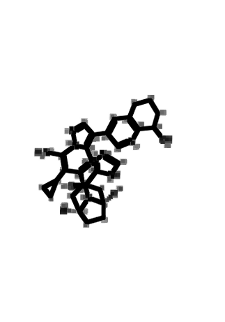 Nc1c(C2CC2)c([C@H]2C[C@H]3CC[C@@H](C2)N3C(=O)c2nnc[nH]2)nc2c(-c3cnc4c(c3)CCCC4O)cnn12